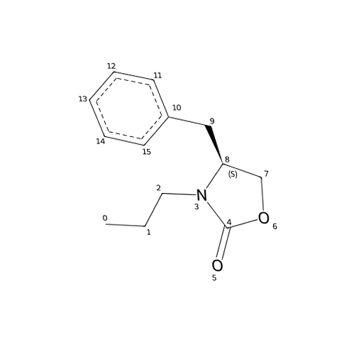 CCCN1C(=O)OC[C@@H]1Cc1ccccc1